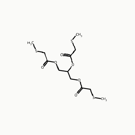 CSCC(=O)OCC(COC(=O)CSC)OC(=O)CSC